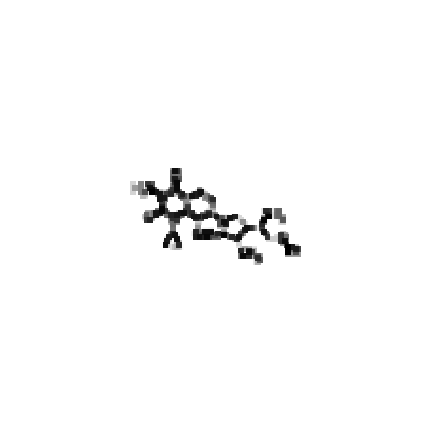 CCOC[C@H](N)[C@H]1CN(c2ccc3c(=O)n(N)c(=O)n(C4CC4)c3c2OC)C[C@H]1C